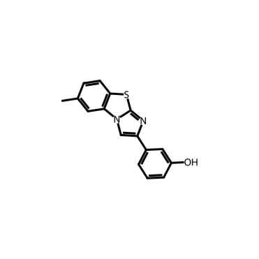 Cc1ccc2sc3nc(-c4cccc(O)c4)cn3c2c1